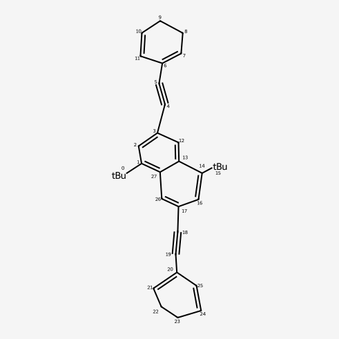 CC(C)(C)c1cc(C#CC2=CCCC=C2)cc2c(C(C)(C)C)cc(C#CC3=CCCC=C3)cc12